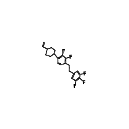 C=CC1CCC(c2ccc(CCc3cc(F)c(F)c(F)c3)c(F)c2F)CC1